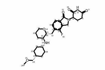 O=C1CCC(N2Cc3c(ccc(C[C@H]4OCCC[C@@H]4N[C@H]4CC[C@@H](COI)CC4)c3F)C2=O)C(=O)N1